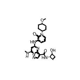 CNc1cc(Nc2cccn([C@H]3CC[C@@H](OC)CC3)c2=O)nc2c(C(=O)N[C@H]3CC[C@@H]3O)cnn12